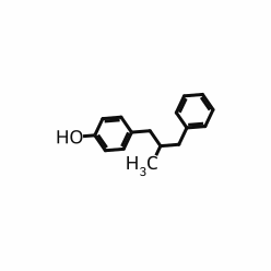 CC(Cc1ccccc1)Cc1ccc(O)cc1